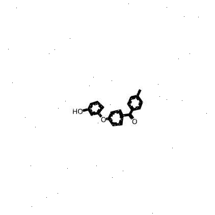 Cc1ccc(C(=O)c2ccc(Oc3cccc(O)c3)cc2)cc1